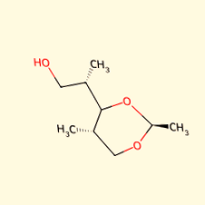 C[C@H]1OC[C@H](C)C([C@@H](C)CO)O1